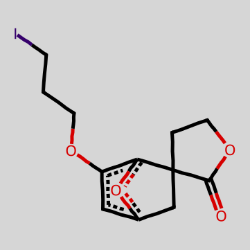 O=C1OCCC12Cc1cc(OCCCI)c2o1